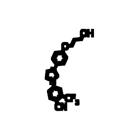 N#Cc1ccc(N2CC[C@@H](c3ccc(OCCCO)cc3)C2)cc1C(F)(F)F